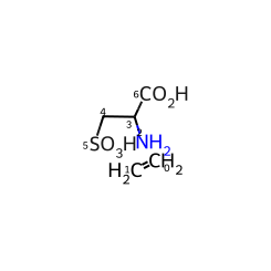 C=C.NC(CS(=O)(=O)O)C(=O)O